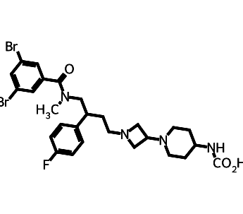 CN(CC(CCN1CC(N2CCC(NC(=O)O)CC2)C1)c1ccc(F)cc1)C(=O)c1cc(Br)cc(Br)c1